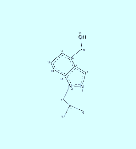 CC(C)Cn1ncc2c(CO)cccc21